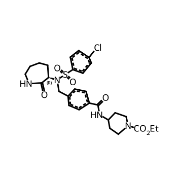 CCOC(=O)N1CCC(NC(=O)c2ccc(CN([C@@H]3CCCCNC3=O)S(=O)(=O)c3ccc(Cl)cc3)cc2)CC1